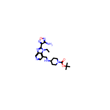 CCn1c(-c2nonc2N)nc2cncc(CNC3CCN(C(=O)OC(C)(C)C)CC3)c21